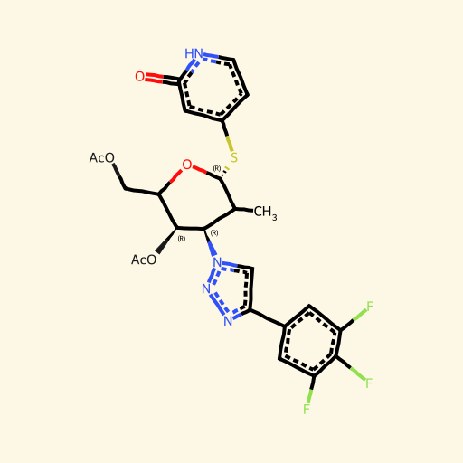 CC(=O)OCC1O[C@H](Sc2cc[nH]c(=O)c2)C(C)[C@@H](n2cc(-c3cc(F)c(F)c(F)c3)nn2)[C@H]1OC(C)=O